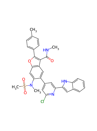 CNC(=O)c1c(-c2ccc(C)cc2)oc2cc(N(C)S(C)(=O)=O)c(-c3cc(Cl)nc(-c4cc5ccccc5[nH]4)c3)cc12